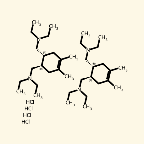 CCN(CC)C[C@@H]1CC(C)=C(C)C[C@H]1CN(CC)CC.CCN(CC)C[C@@H]1CC(C)=C(C)C[C@H]1CN(CC)CC.Cl.Cl.Cl.Cl